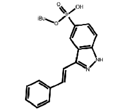 CCC(C)OP(=O)(O)c1ccc2[nH]nc(C=Cc3ccccc3)c2c1